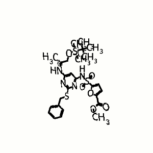 COC(=O)c1ccc(S(=O)(=O)Nc2cc(N[C@H](C)CO[Si](C)(C)C(C)(C)C)nc(SCc3ccccc3)n2)o1